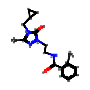 O=C(NCCn1nc(C(F)(F)F)n(CC2CC2)c1=O)c1ccccc1C(F)(F)F